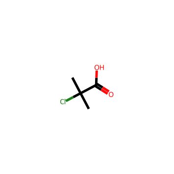 CC(C)(Cl)C(=O)O